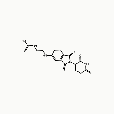 O=C(O)NCCNc1ccc2c(c1)C(=O)N(C1CCC(=O)NC1=O)C2=O